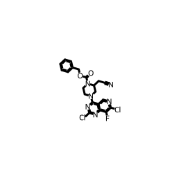 N#CCC1CN(c2nc(Cl)nc3c(F)c(Cl)ncc23)CCN1C(=O)OCc1ccccc1